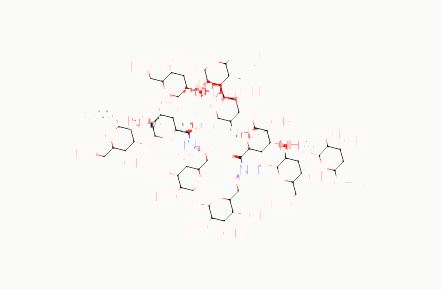 CO[C@@H]1OC(CO)[C@@H](O)[C@H](OC2OC(C(=O)NOCC3O[C@H](O[C@H]4OC(CONC(=O)C5O[C@@H](O[C@@H]6C(NC(C)=O)[C@H](OC)OC(CO)[C@H]6O)C(O)[C@@H](O)[C@@H]5O[C@@H]5OC(CO)[C@@H](O)[C@H](O[C@@H]6OC(C(=O)O)[C@@H](C)[C@H](O)C6O)C5NC(C)=O)[C@@H](O)[C@H](O)C4O)C(O)[C@@H](O)[C@@H]3O)[C@@H](O[C@@H]3OC(CO)[C@@H](O)[C@H](O[C@@H]4OC(C=O)[C@@H](C)[C@H](O)C4O)C3NC(C)=O)[C@H](O)[C@@H]2O)C1NC(C)=O